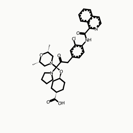 C[C@@H]1CN([C@](O[C@H]2CC[C@H](C(=O)O)CC2)(C(=O)Cc2ccc(NC(=O)c3nccc4ccccc34)c(Cl)c2)N2CCCC2)C[C@H](C)O1